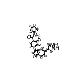 CN(C(=O)c1ccc(-c2cnc3ccc(C4=CNNC4)cn23)cc1F)c1nccs1